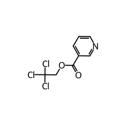 O=C(OCC(Cl)(Cl)Cl)c1cccnc1